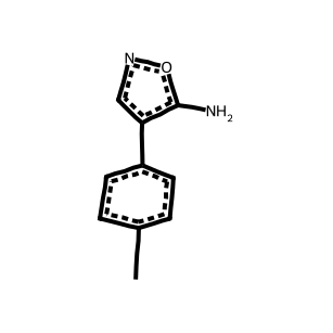 Cc1ccc(-c2cnoc2N)cc1